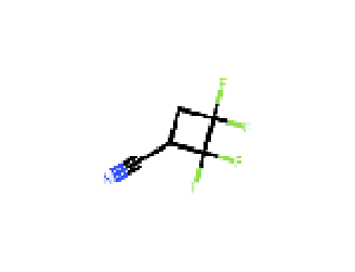 N#CC1CC(F)(F)C1(F)F